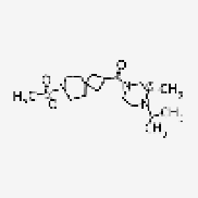 CC(C)N1CCN(C(=O)C2CC3(CCN(S(C)(=O)=O)CC3)C2)C[C@@H]1C